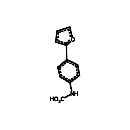 O=C(O)Nc1ccc(-c2ccco2)cc1